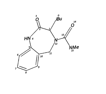 CCC(C)C1C(=O)Nc2ccccc2CN1C(=O)NC